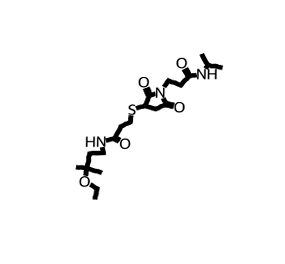 CCOC(C)(C)CCNC(=O)CCSC1CC(=O)N(CCC(=O)NC(C)C)C1=O